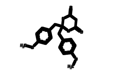 COc1ccc(CC2(Cc3ccc(OC)cc3)OC(=O)CC(=O)O2)cc1